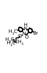 Cc1ccc2c(c1)N(COCC[Si](C)(C)C)C(=O)c1cc(Br)ccc1N2